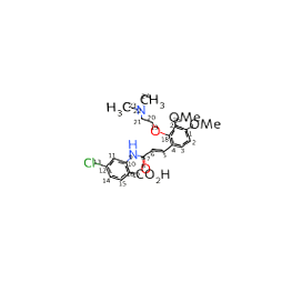 COc1ccc(C=CC(=O)Nc2cc(Cl)ccc2C(=O)O)c(OCCN(C)C)c1OC